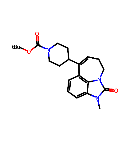 Cn1c(=O)n2c3c(cccc31)C(C1CCN(C(=O)OC(C)(C)C)CC1)=CCC2